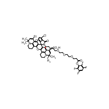 CCC1=CC(C)(C)N2CCCc3c4c(cc1c32)C1(c2cc3c5c(c2O4)CCCN5C(C)(C)C=C3CS(=O)(=O)O)c2c(Cl)ccc(Cl)c2C(=O)N1CCOCCOCCOCCOCCC(=O)Oc1c(F)c(F)cc(F)c1F